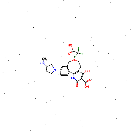 CNC1CCN(c2ccc3c(c2)COCCc2c-3[nH]c(=O)c(C(=O)O)c2O)C1.O=C(O)C(F)(F)F